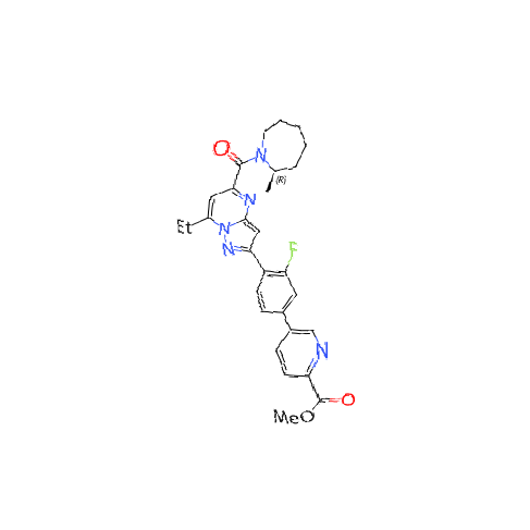 CCc1cc(C(=O)N2CCCCC[C@H]2C)nc2cc(-c3ccc(-c4ccc(C(=O)OC)nc4)cc3F)nn12